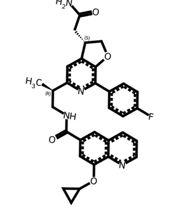 C[C@H](CNC(=O)c1cc(OC2CC2)c2ncccc2c1)c1cc2c(c(-c3ccc(F)cc3)n1)OC[C@H]2CC(N)=O